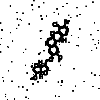 COc1cc2c(Nc3ccc(Br)c(Cl)c3Cl)ncnc2cc1OCC1CO[C@@H]2[C@@H](OC)CO[C@H]12